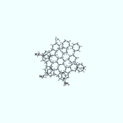 Cc1ccc2c(c1)c1cc(C)ccc1n2-c1c(-c2cc(-c3ccccc3)nc(-c3ccccc3)c2)c(-c2nc3ccccc3s2)c(-n2c3ccc(C)cc3c3cc(C)ccc32)c(-n2c3ccc(C)cc3c3cc(C)ccc32)c1-n1c2ccc(C)cc2c2cc(C)ccc21